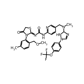 COCc1ccc(C)cc1N1C(=O)CS/C1=N\C(=O)Nc1ccc(CN(C)C2N=CN(c3ccc(OC(F)(F)F)cc3)N2)cn1